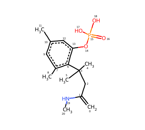 C=C(CC(C)(C)c1c(C)cc(C)cc1OP(=O)(O)O)NC